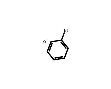 CCc1cc[c]cc1.[Zn]